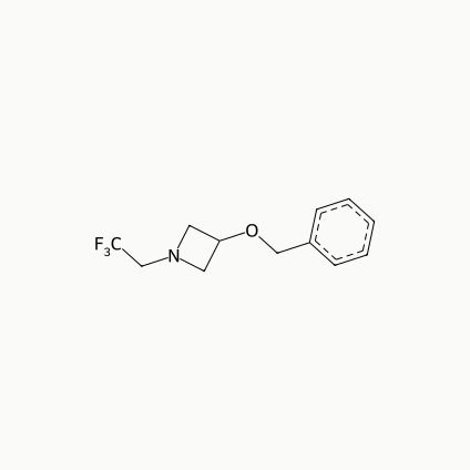 FC(F)(F)CN1CC(OCc2ccccc2)C1